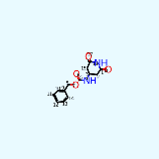 O=C1CC(NC(=O)OCc2ccccc2)CC(=O)N1